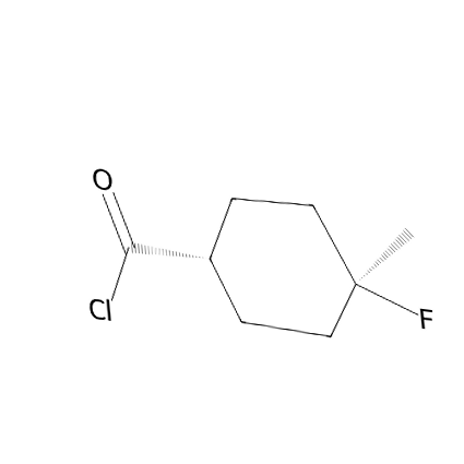 C[C@]1(F)CC[C@H](C(=O)Cl)CC1